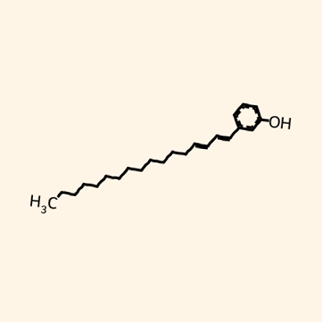 CCCCCCCCCCCCCC=CC=Cc1cccc(O)c1